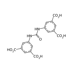 O=C(Nc1cc(C(=O)O)cc(C(=O)O)c1)Nc1cc(C(=O)O)cc(C(=O)O)c1